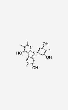 Cc1cc2c3c(O)c(C)c(C)cc3n(-c3cc(O)c(C)c(O)c3)c2cc1O